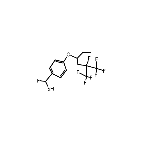 CCC(CC(F)(C(F)(F)F)C(F)(F)F)Oc1ccc(C(F)S)cc1